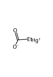 CCC(=O)[O-].[Hg+]